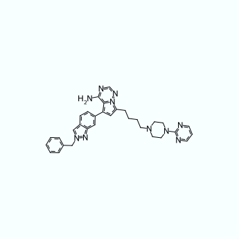 Nc1ncnn2c(CCCCN3CCN(c4ncccn4)CC3)cc(-c3ccc4cn(Cc5ccccc5)nc4c3)c12